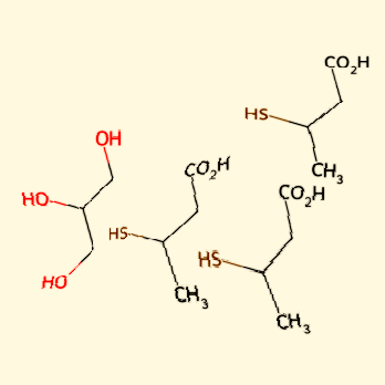 CC(S)CC(=O)O.CC(S)CC(=O)O.CC(S)CC(=O)O.OCC(O)CO